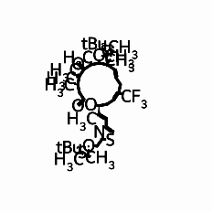 C/C(=C\c1csc(CO[Si](C)(C)C(C)(C)C)n1)[C@@H]1C/C=C(/C(F)(F)F)C/C=C/[C@H](C)[C@H](O[Si](C)(C)C(C)(C)C)[C@@H](C)C(=O)C(C)(C)[C@@H](C)CC(=O)O1